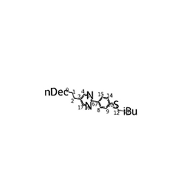 CCCCCCCCCCCCc1cnc(-c2ccc(SCC(C)CC)cc2)nc1